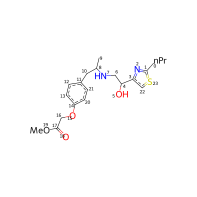 CCCc1nc(C(O)CNC(C)Cc2ccc(OCC(=O)OC)cc2)cs1